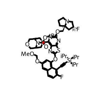 COCOc1cc(Oc2nc3c(N4CC5COCC(C4)N5C(=O)OC(C)(C)C)nc(OC[C@@]45CCCN4C[C@H](F)C5)nc3s2)c2c(C#C[Si](C(C)C)(C(C)C)C(C)C)c(F)ccc2c1